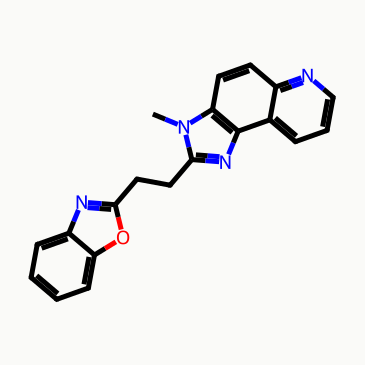 Cn1c(CCc2nc3ccccc3o2)nc2c3cccnc3ccc21